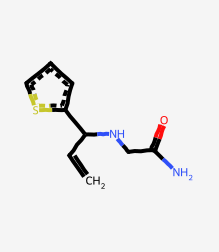 C=CC(NCC(N)=O)c1cccs1